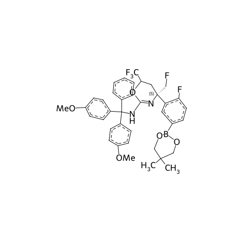 COc1ccc(C(NC2=N[C@](CF)(c3cc(B4OCC(C)(C)CO4)ccc3F)CC(C(F)(F)F)O2)(c2ccccc2)c2ccc(OC)cc2)cc1